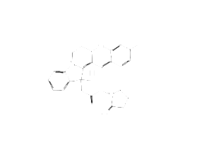 CC1(CC(=O)ON2CCCC2=O)C2=C3C=C4C=CC(O)C=C4OC3CCN2c2ccccc21